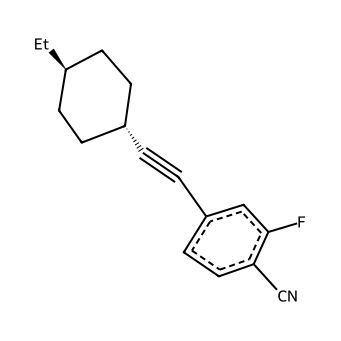 CC[C@H]1CC[C@H](C#Cc2ccc(C#N)c(F)c2)CC1